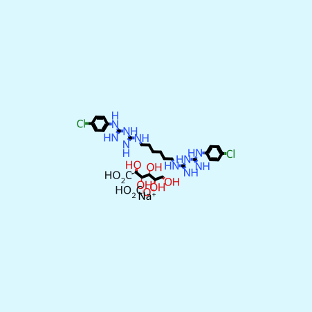 N=C(NCCCCCCNC(=N)NC(=N)Nc1ccc(Cl)cc1)NC(=N)Nc1ccc(Cl)cc1.O=C(O)[C@H](O)[C@@H](O)[C@H](O)[C@H](O)CO.O=C([O-])O.[Na+]